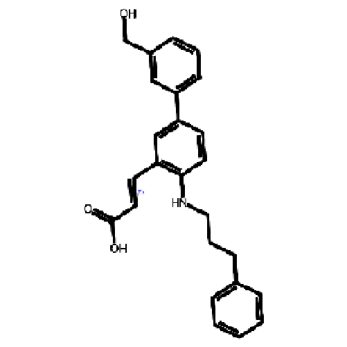 O=C(O)/C=C/c1cc(-c2cccc(CO)c2)ccc1NCCCc1ccccc1